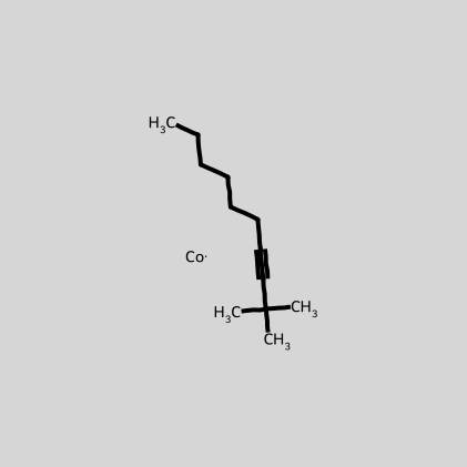 CCCCCCC#CC(C)(C)C.[Co]